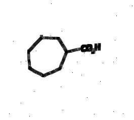 O=C(O)C1C[CH]CCCC1